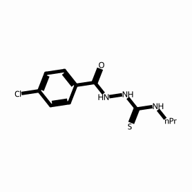 CCCNC(=S)NNC(=O)c1ccc(Cl)cc1